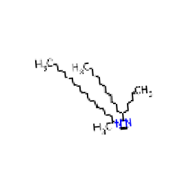 CCCCCCCCCCCCCCCCC(C)n1ccnc1C(CCCCC)CCCCCCCCCCC